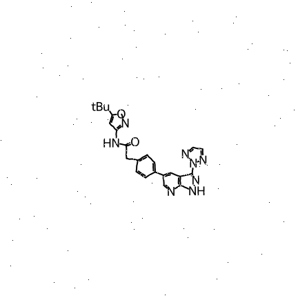 CC(C)(C)c1cc(NC(=O)Cc2ccc(-c3cnc4[nH]nc(-n5nccn5)c4c3)cc2)no1